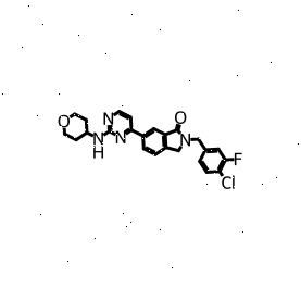 O=C1c2cc(-c3ccnc(NC4CCOCC4)n3)ccc2CN1Cc1ccc(Cl)c(F)c1